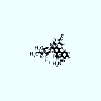 C=CC(=O)N1[C@H](C)CN(c2nc(=O)n3c4c(c(-c5ccc(F)c6sc(N)nc56)c(C(F)(F)F)cc24)SC[C@@H]3COI)C[C@@H]1C